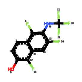 Oc1ccc2c(F)c(NC(F)(F)F)c(F)cc2c1F